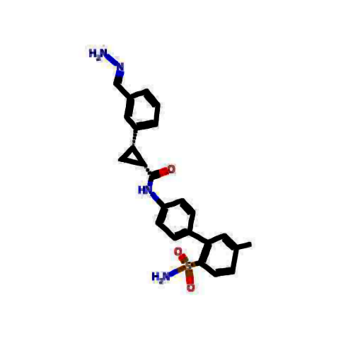 Cc1ccc(S(N)(=O)=O)c(-c2ccc(NC(=O)[C@@H]3C[C@@H]3c3cccc(C=NN)c3)cc2)c1